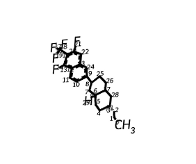 CCC[C@@H]1CC[C@@H]2CC(c3ccc4c(F)c(C(F)(F)F)c(F)cc4c3)CCC2C1